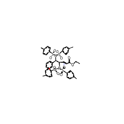 CCOC(=O)/C=C/C(C(c1ccccc1)N(S(=O)(=O)c1ccc(C)cc1)S(=O)(=O)c1ccc(C)cc1)N(S(=O)(=O)c1ccc(C)cc1)S(=O)(=O)c1ccc(C)cc1